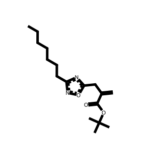 C=C(Cc1nc(CCCCCCC)no1)C(=O)OC(C)(C)C